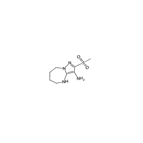 CS(=O)(=O)c1nn2c(c1N)NCCCC2